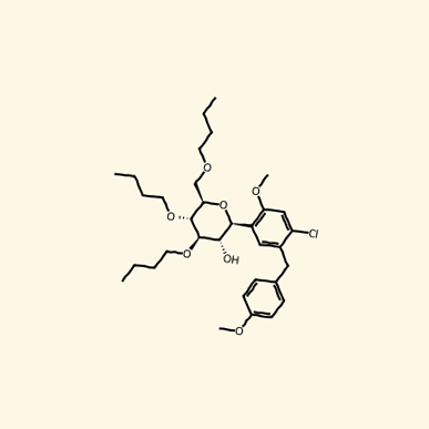 CCCCOC[C@H]1O[C@@H](c2cc(Cc3ccc(OC)cc3)c(Cl)cc2OC)[C@H](O)[C@@H](OCCCC)[C@@H]1OCCCC